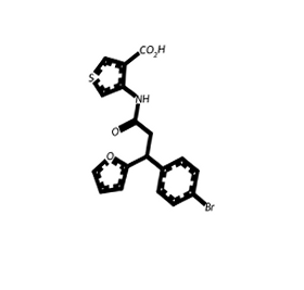 O=C(CC(c1ccc(Br)cc1)c1ccco1)Nc1cscc1C(=O)O